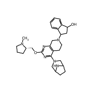 CN1CCC[C@H]1COc1nc2c(c(N3CC4CCC(C3)N4)n1)CCN(C1CC(O)c3ccccc31)C2